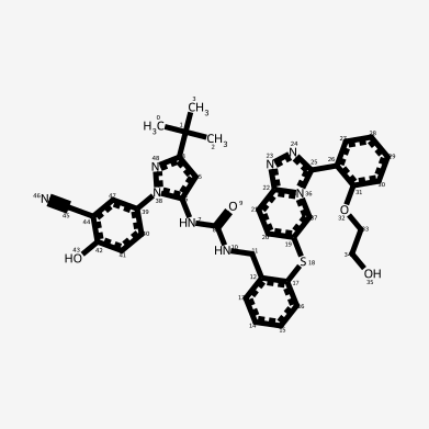 CC(C)(C)c1cc(NC(=O)NCc2ccccc2Sc2ccc3nnc(-c4ccccc4OCCO)n3c2)n(-c2ccc(O)c(C#N)c2)n1